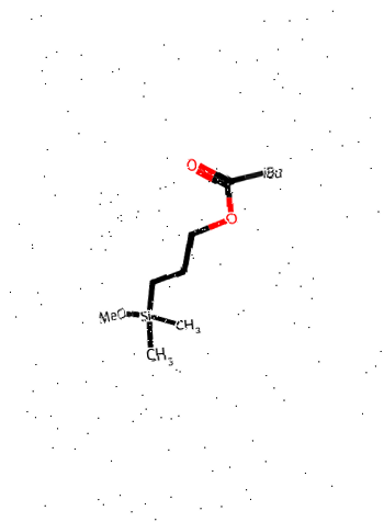 CCC(C)C(=O)OCCC[Si](C)(C)OC